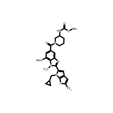 COc1cc(C(=O)N2CCCC(NC(=O)OC(C)(C)C)C2)cc2nc(-c3cc4cc(C(F)(F)F)oc4n3CC3CC3)n(C)c12